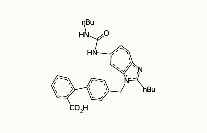 CCCCNC(=O)Nc1ccc2nc(CCCC)n(Cc3ccc(-c4ccccc4C(=O)O)cc3)c2c1